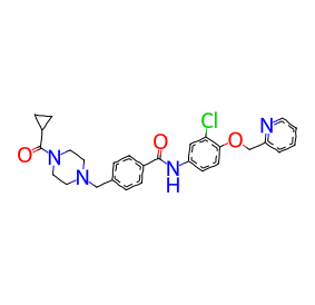 O=C(Nc1ccc(OCc2ccccn2)c(Cl)c1)c1ccc(CN2CCN(C(=O)C3CC3)CC2)cc1